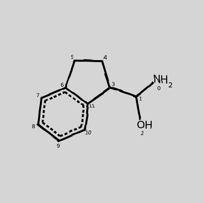 NC(O)C1CCc2ccccc21